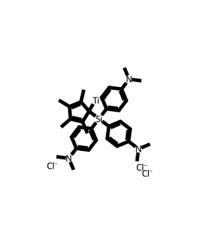 CC1=C(C)[C]([Ti+3])([Si](c2ccc(N(C)C)cc2)(c2ccc(N(C)C)cc2)c2ccc(N(C)C)cc2)C(C)=C1C.[Cl-].[Cl-].[Cl-]